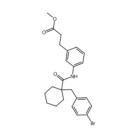 COC(=O)CCc1cccc(NC(=O)C2(Cc3ccc(Br)cc3)CCCCC2)c1